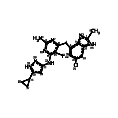 Cc1nc2c(Cc3nc(N)nc(Nc4cc(C5CC5)[nH]n4)c3F)cc(Cl)cc2[nH]1